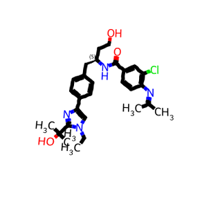 CCn1cc(-c2ccc(C[C@@H](CCO)NC(=O)c3ccc(N=C(C)C)c(Cl)c3)cc2)nc1C(C)(C)O